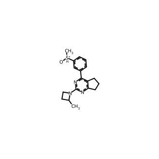 CC1CCN1c1nc2c(c(-c3cccc([S@+](C)[O-])c3)n1)CCC2